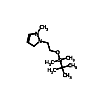 CN1C=CCN1CCO[Si](C)(C)C(C)(C)C